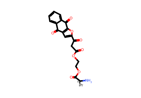 CC(C)[C@H](N)C(=O)OCCOC(=O)CC(=O)c1cc2c(o1)C(=O)c1ccccc1C2=O